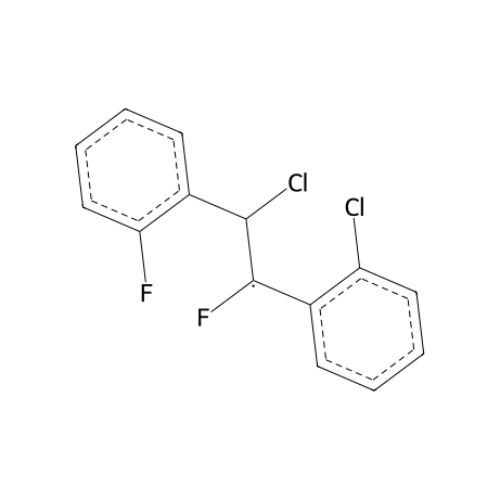 F[C](c1ccccc1Cl)C(Cl)c1ccccc1F